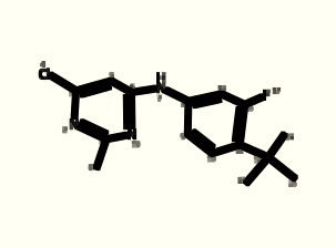 Cc1nc(Cl)cc(Nc2ccc(C(C)(C)C)c(F)c2)n1